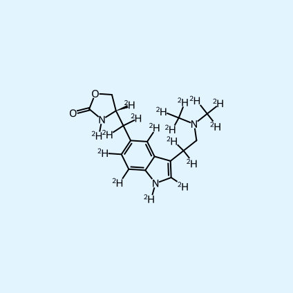 [2H]c1c(C([2H])([2H])[C@@]2([2H])COC(=O)N2[2H])c([2H])c2c(C([2H])([2H])CN(C([2H])([2H])[2H])C([2H])([2H])[2H])c([2H])n([2H])c2c1[2H]